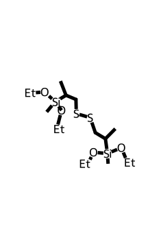 CCO[Si](C)(OCC)C(C)CSSCC(C)[Si](C)(OCC)OCC